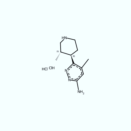 Cc1cc(N)nnc1[C@@H]1CCNC[C@H]1C.Cl.Cl